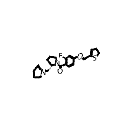 O=C(c1ccc(OCC2=CCCS2)cc1F)N1CCC[C@H]1CN1CCCC1